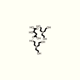 O=C(O)CC(O)C(=O)O.OCCN(CCO)CCO.OCCN(CCO)CCO